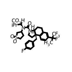 CC(C)C(C(=O)O)N(C(=O)N1CC[C@@]2(Cc3ccc(F)cc3)c3ccc(C(C)(F)C(F)(F)F)cc3CC[C@@H]12)C1CCS(=O)(=O)C1